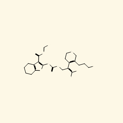 CCCCC1=C(/C(CNC(=O)Nc2sc3c(c2C(=O)OCC)CCCC3)=C(\C)Cl)CCNC1